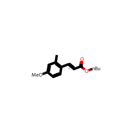 CCCCOC(=O)/C=C/c1ccc(OC)cc1C